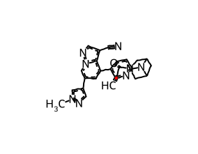 C#CC(=O)N1CC2CC(C1)N2c1ccc(-c2cc(-c3cnn(C)c3)cn3ncc(C#N)c23)cn1